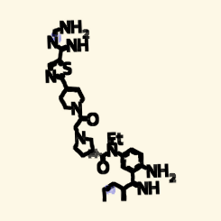 C=C(/C=C\C)C(=N)c1cc(N(CC)C(=O)[C@@H]2CCN(CC(=O)N3CC=C(c4ncc(C(=N)/N=C\N)s4)CC3)C2)ccc1N